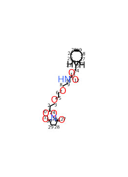 O=C(CCOCCOCCNC(=O)OCC1[C@H]2CCC#CCC[C@@H]12)ON1C(=O)CCC1=O